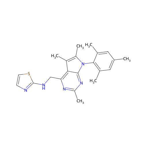 Cc1cc(C)c(-n2c(C)c(C)c3c(CNc4nccs4)nc(C)nc32)c(C)c1